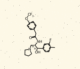 Cc1ccc([C@@H](O)[C@@H](CN2CCCC2)NC(=O)Cc2ccc(OC(F)(F)F)cc2)cc1F